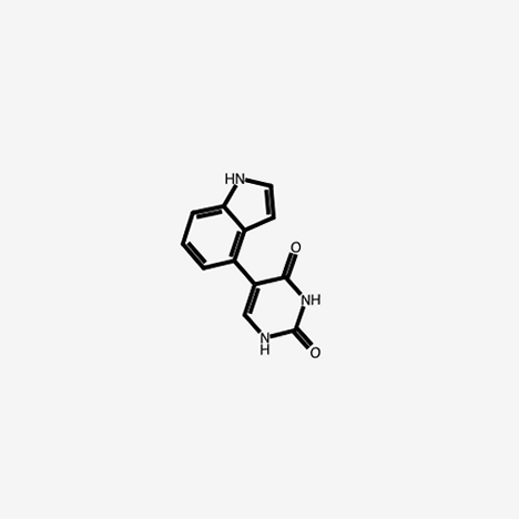 O=c1[nH]cc(-c2cccc3[nH]ccc23)c(=O)[nH]1